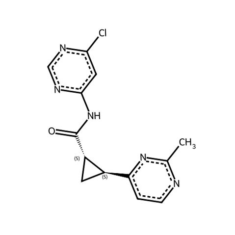 Cc1nccc([C@H]2C[C@@H]2C(=O)Nc2cc(Cl)ncn2)n1